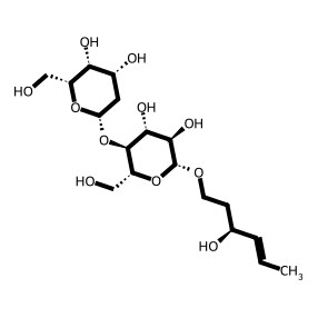 C/C=C/[C@@H](O)CCO[C@@H]1O[C@H](CO)[C@@H](O[C@H]2C[C@@H](O)[C@@H](O)[C@@H](CO)O2)[C@H](O)[C@H]1O